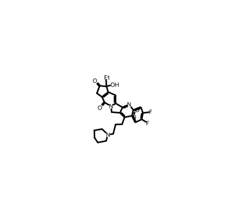 CCC1(O)C(=O)Cc2c1cc1n(c2=O)Cc2c-1nc1c3c(F)c(F)c(c1c2CCCN1CCCCC1)OCO3